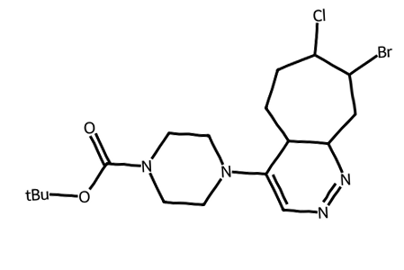 CC(C)(C)OC(=O)N1CCN(C2=CN=NC3CC(Br)C(Cl)CCC23)CC1